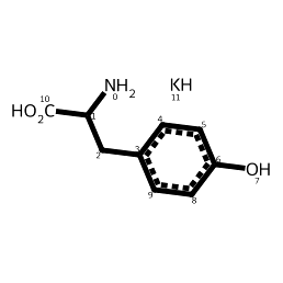 NC(Cc1ccc(O)cc1)C(=O)O.[KH]